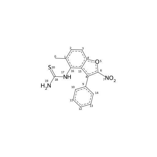 Cc1ccc2oc([N+](=O)[O-])c(-c3ccccc3)c2c1NC(N)=S